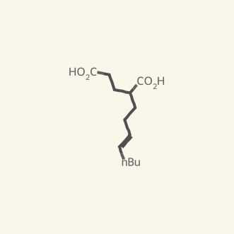 CCCCC=CCCC(CCC(=O)O)C(=O)O